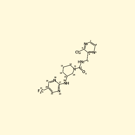 O=C(NCc1nccnc1Cl)N1CCCC(Nc2ncc(C(F)(F)F)cn2)C1